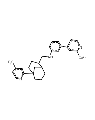 COc1cc(-c2cccc(NCC3CCC4(c5cc(C(F)(F)F)ccn5)CCCC3C4)c2)ccn1